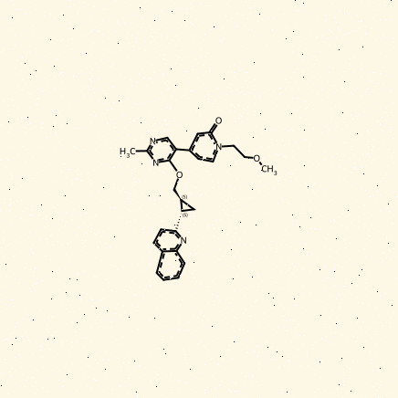 COCCn1ccc(-c2cnc(C)nc2OC[C@H]2C[C@@H]2c2ccc3ccccc3n2)cc1=O